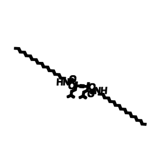 CCCCCCCCCCCCCCCCCCNC(=O)OC(C)(C#CC(C)(CCC(C)C)OC(=O)NCCCCCCCCCCCCCCCCCC)CCC(C)C